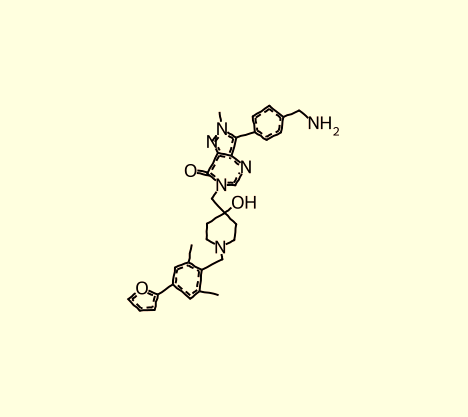 Cc1cc(-c2ccco2)cc(C)c1CN1CCC(O)(Cn2cnc3c(-c4ccc(CN)cc4)n(C)nc3c2=O)CC1